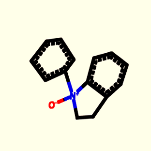 [O-][N+]1(c2ccccc2)CCc2ccccc21